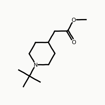 COC(=O)CC1CCN(C(C)(C)C)CC1